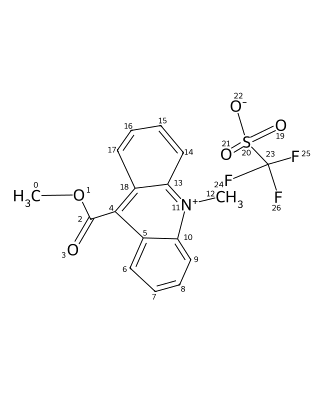 COC(=O)c1c2ccccc2[n+](C)c2ccccc12.O=S(=O)([O-])C(F)(F)F